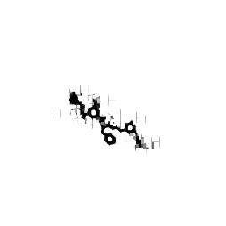 Cc1csc(CN(C)C(=O)c2cc(C(=O)NC(Cc3ccccc3)C(O)CNCc3cc(OC(=O)N(C)C)cc(C(C)C)c3)cc(N(C)C)c2)n1